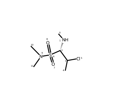 CN[C@H](C(C)Cl)S(=O)(=O)N(C)C